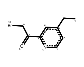 CCc1ccnc(C(=O)CBr)c1